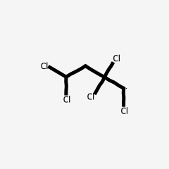 Cl[CH]C(Cl)(Cl)C[C](Cl)Cl